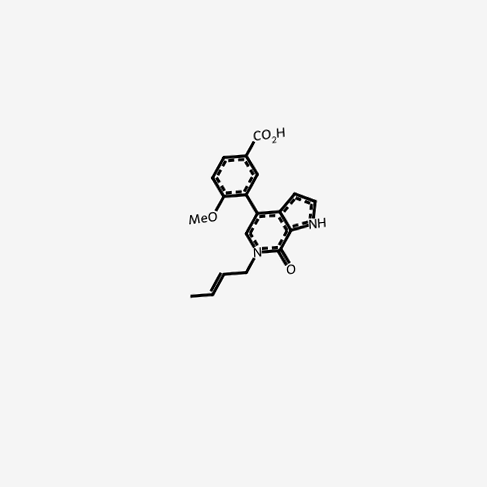 CC=CCn1cc(-c2cc(C(=O)O)ccc2OC)c2cc[nH]c2c1=O